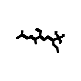 C=CC(=C\C=C(/CCC)C(F)(F)F)/C(C)=N/C=C(C)C